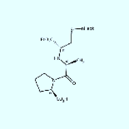 CCCCCCCSC[C@H](N[C@@H](C)C(=O)N1CCC[C@@H]1C(=O)O)C(=O)OCC